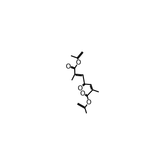 C=C(C)OC(=O)C(C)=CC(=O)C=C(C)C(=O)OC(=C)C